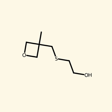 CC1(CSCCO)COC1